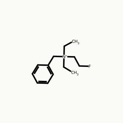 CC[N+](CC)(CCF)Cc1ccccc1